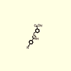 N#Cc1ccc(C2=CN(Cc3cccc(C(=O)O)c3)CN2)cc1